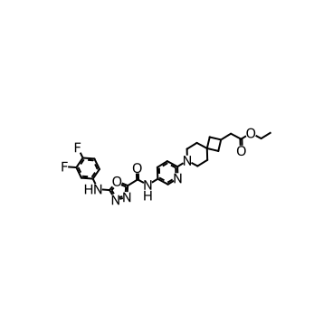 CCOC(=O)CC1CC2(CCN(c3ccc(NC(=O)c4nnc(Nc5ccc(F)c(F)c5)o4)cn3)CC2)C1